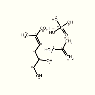 C=C(C)C(=O)O.CC(=CCC(O)CO)C(=O)O.O=P(O)(O)O